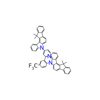 CC1(C)c2ccccc2-c2ccc3c(c21)c1ccccc1n3-c1ccnc(-c2cc(C(F)(F)F)ccc2-n2c3ccccc3c3c4c(ccc32)-c2ccccc2C4(C)C)c1